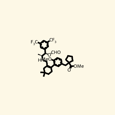 COC(=O)C1(Cc2ccc(OC)c(C3=C(CN[C@@H](C)[C@H](OC=O)c4cc(C(F)(F)F)cc(C(F)(F)F)c4)CC(C)(C)CC3)c2)CCCC1